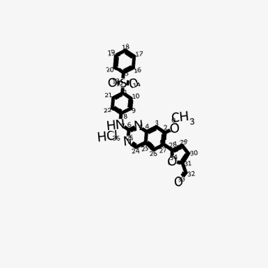 COc1cc2nc(Nc3ccc(S(=O)(=O)c4ccccc4)cc3)ncc2cc1-c1ccc(C=O)o1.Cl